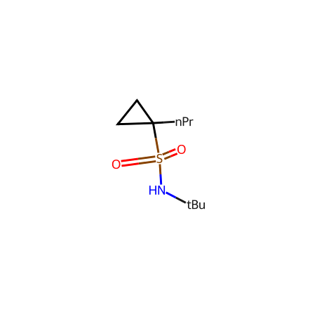 CCCC1(S(=O)(=O)NC(C)(C)C)CC1